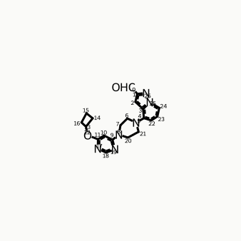 O=Cc1cc2c(N3CCN(c4cc(OC5CCC5)ncn4)CC3)cccn2n1